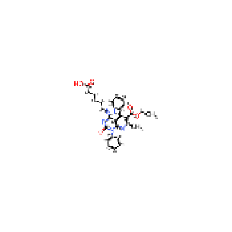 CCOC(=O)c1c(C)nc2c(c(NCCCCCC(=O)O)nc(=O)n2-c2ccccc2)c1-c1ccccc1